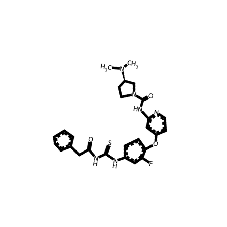 CN(C)[C@@H]1CCN(C(=O)Nc2cc(Oc3ccc(NC(=S)NC(=O)Cc4ccccc4)cc3F)ccn2)C1